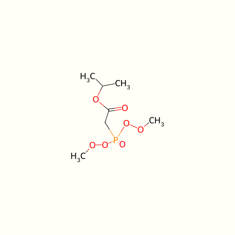 COOP(=O)(CC(=O)OC(C)C)OOC